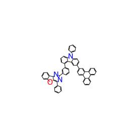 c1ccc(-c2nc(-c3cccc(-c4cccc5c4c4cc(-c6ccc7c8ccccc8c8ccccc8c7c6)ccc4n5-c4ccccc4)c3)nc3c2oc2ccccc23)cc1